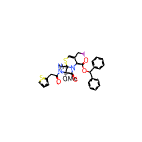 CO[C@@]1(NC(=O)Cc2cccs2)C(=O)N2C(C(=O)OC(c3ccccc3)c3ccccc3)C(CI)=CS[C@H]21